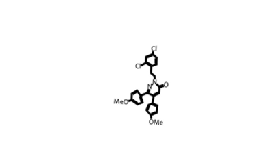 COc1ccc(-c2cc(=O)n(CCc3ccc(Cl)cc3Cl)nc2-c2ccc(OC)cc2)cc1